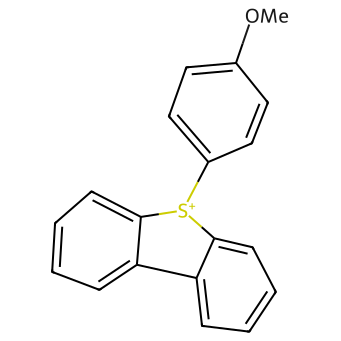 COc1ccc(-[s+]2c3ccccc3c3ccccc32)cc1